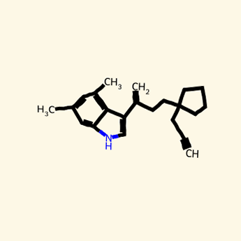 C#CCC1(CCC(=C)c2c[nH]c3cc(C)cc(C)c23)CCCC1